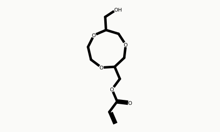 C=CC(=O)OCC1COCC(CO)OCCO1